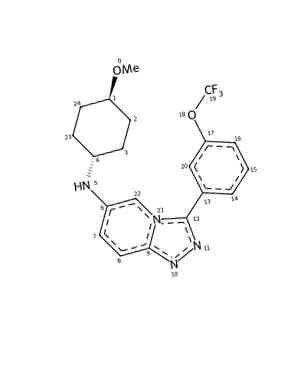 CO[C@H]1CC[C@H](Nc2ccc3nnc(-c4cccc(OC(F)(F)F)c4)n3c2)CC1